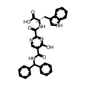 O=C(N[C@@H](Cc1c[nH]c2ccccc12)C(=O)O)c1ncc(C(=O)NC(c2ccccc2)c2ccccc2)c(O)n1